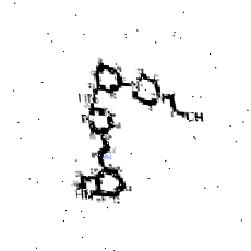 OCCN1CCN(c2cccc(Nc3ncc(/C=C/c4cccc5[nH]ccc45)cn3)c2)CC1